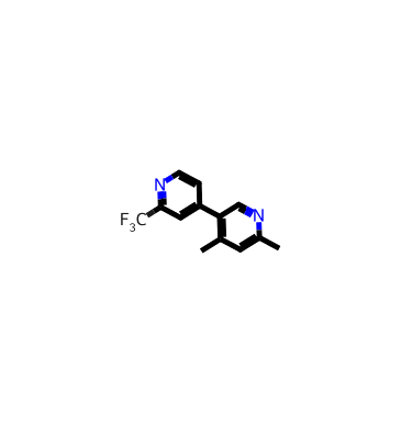 Cc1cc(C)c(-c2ccnc(C(F)(F)F)c2)cn1